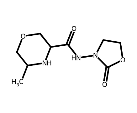 CC1COCC(C(=O)NN2CCOC2=O)N1